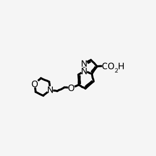 O=C(O)c1cnn2cc(OCCN3CCOCC3)ccc12